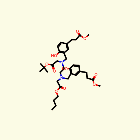 CCCCOC(=O)CN(CCN(CC(=O)OC(C)(C)C)Cc1cc(CCC(=O)OC)ccc1O)Cc1cc(CCC(=O)OC)ccc1O